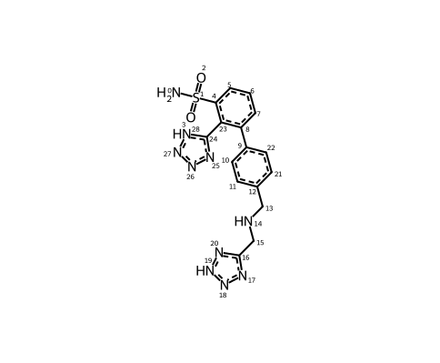 NS(=O)(=O)c1cccc(-c2ccc(CNCc3nn[nH]n3)cc2)c1-c1nnn[nH]1